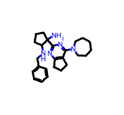 NC1(c2nc3c(c(N4CCCCCC4)n2)CCC3)CCCC1NCc1ccccc1